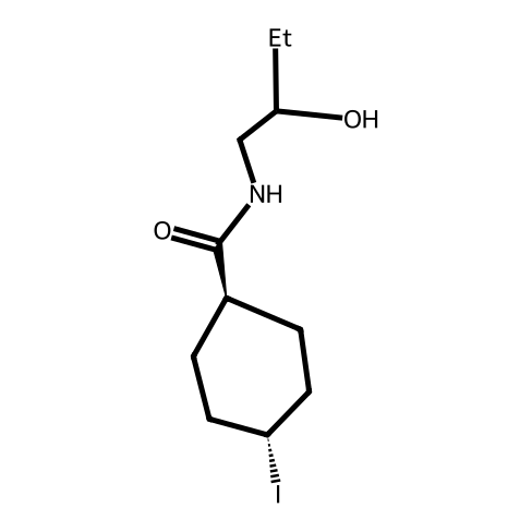 CCC(O)CNC(=O)[C@H]1CC[C@H](I)CC1